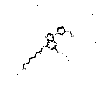 Nc1nc(SCCCCCCO)c2ncn([C@@H]3C=C[C@H](CO)C3)c2n1